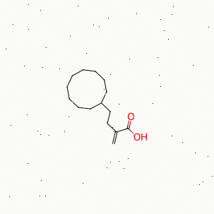 C=C(CCC1CCCCCCCCC1)C(=O)O